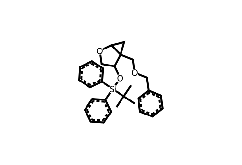 CC(C)(C)[Si](OC1COC2CC21COCc1ccccc1)(c1ccccc1)c1ccccc1